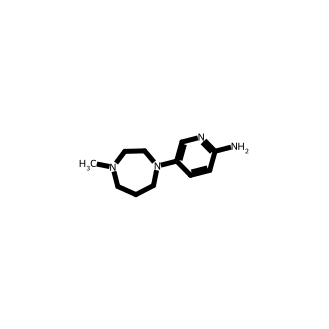 CN1CCCN(c2ccc(N)nc2)CC1